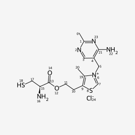 Cc1ncc(C[n+]2csc(CCOC(=O)[C@@H](N)CS)c2C)c(N)n1.[Cl-]